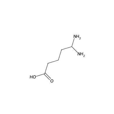 NC(N)CCCC(=O)O